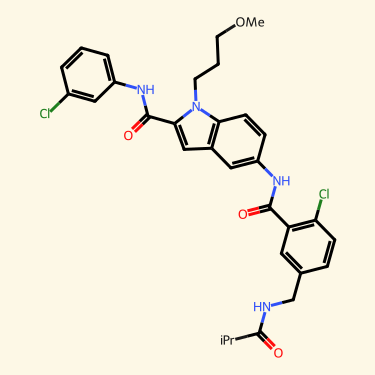 COCCCn1c(C(=O)Nc2cccc(Cl)c2)cc2cc(NC(=O)c3cc(CNC(=O)C(C)C)ccc3Cl)ccc21